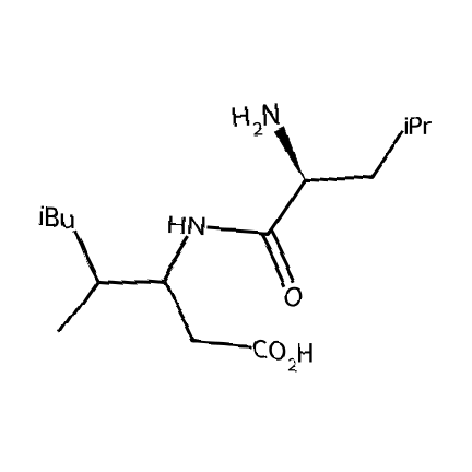 CCC(C)C(C)C(CC(=O)O)NC(=O)[C@@H](N)CC(C)C